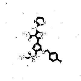 NC(=O)c1c(-c2ccc(NS(=O)(=O)CC(F)(F)F)c(OCc3ccc(F)cc3)c2)n[nH]c1Nc1cnccn1